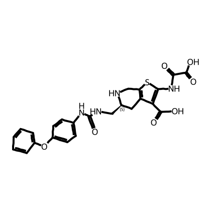 O=C(NC[C@@H]1Cc2c(sc(NC(=O)C(=O)O)c2C(=O)O)CN1)Nc1ccc(Oc2ccccc2)cc1